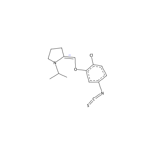 CC(C)N1CCC/C1=C/Oc1cc(N=C=S)ccc1Cl